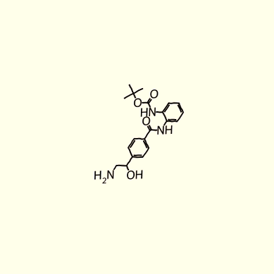 CC(C)(C)OC(=O)Nc1ccccc1NC(=O)c1ccc(C(O)CN)cc1